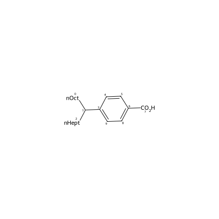 CCCCCCCCC(CCCCCCC)c1ccc(C(=O)O)cc1